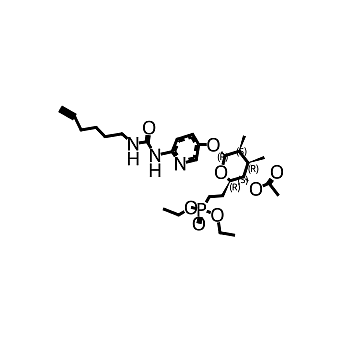 C#CCCCCNC(=O)Nc1ccc(O[C@H]2O[C@H](CCP(=O)(OCC)OCC)[C@@H](OC(C)=O)[C@H](C)[C@@H]2C)cn1